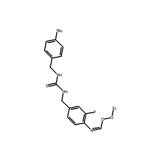 CCOO/C=N\c1ccc(CNC(=S)NCc2ccc(C(C)(C)C)cc2)cc1F